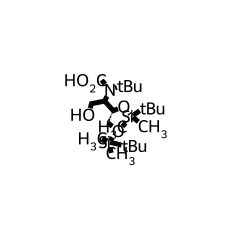 CC(C)(C)N(C(=O)O)C(CO)[C@@H](CO[Si](C)(C)C(C)(C)C)O[Si](C)(C)C(C)(C)C